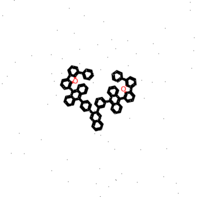 c1ccc(-c2cccc3c2oc2c(-c4c5ccccc5c(-c5ccc(-c6cc7ccccc7cc6-c6cccc(-c7c8ccccc8c(-c8cccc9c8oc8c(-c%10ccccc%10)cccc89)c8ccccc78)c6)cc5)c5ccccc45)cccc23)cc1